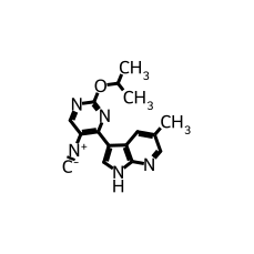 [C-]#[N+]c1cnc(OC(C)C)nc1-c1c[nH]c2ncc(C)cc12